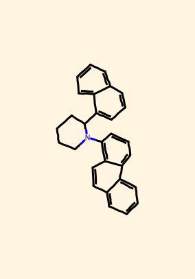 c1ccc2c(C3CCCCN3c3cccc4c3ccc3ccccc34)cccc2c1